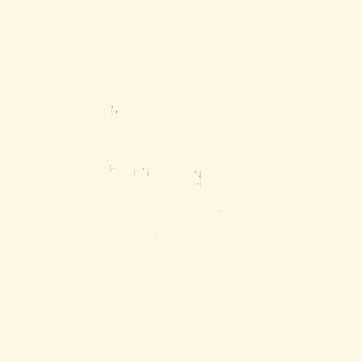 CC1(C)CC(=O)C2=C(C1)NC1(c3ccncc3F)CC21Nc1ccccc1